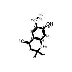 CC1(C)CC(=O)c2cc(OC(F)(F)F)c(O)cc2O1